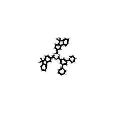 CC1(C)c2ccccc2-c2cc(-c3nc(-c4cc(-c5ccccc5)cc(-c5ccccn5)c4)nc(-c4ccc5c(c4)-c4ccccc4C5(C)C)n3)ccc21